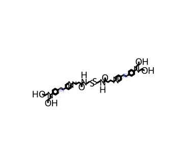 O=C(CCC[n+]1ccc(/C=C/c2ccc(N(CCO)CCO)cc2)cc1)NCCSSCCNC(=O)CCC[n+]1ccc(/C=C/c2ccc(N(CCO)CCO)cc2)cc1